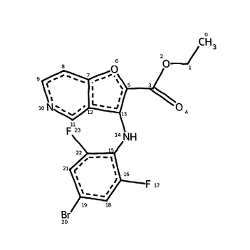 CCOC(=O)c1oc2ccncc2c1Nc1c(F)cc(Br)cc1F